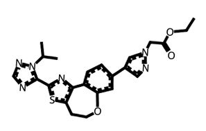 CCOC(=O)Cn1cc(-c2ccc3c(c2)OCCc2sc(-c4ncnn4C(C)C)nc2-3)cn1